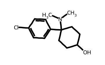 CN(C)C1(c2ccc(Cl)cc2)CCC(O)CC1